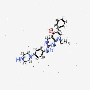 Cn1cc(-c2ccccc2)c(=O)c2cnc(Nc3ccc(N4CCNCC4)cc3)nc21